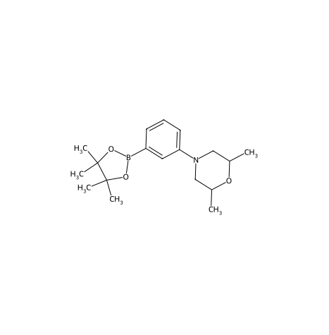 CC1CN(c2cccc(B3OC(C)(C)C(C)(C)O3)c2)CC(C)O1